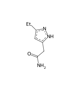 CCc1cc(CC(N)=O)[nH]n1